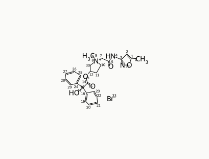 Cc1cc(NC(=O)C[N@+]2(C)CCC(OC(=O)C(O)(c3ccccc3)c3ccccc3)C2)no1.[Br-]